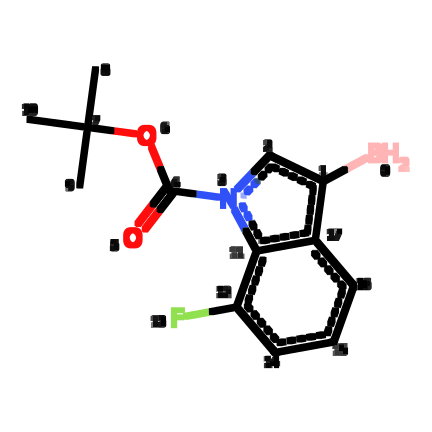 Bc1cn(C(=O)OC(C)(C)C)c2c(F)cccc12